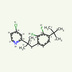 CC(C)(C)c1ccc(CC(C)(C)c2cc(Cl)ccn2)c(F)c1F